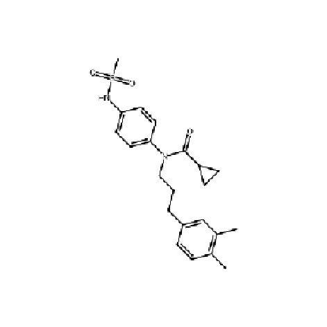 Cc1ccc(CCCN(C(=O)C2CC2)c2ccc(NS(C)(=O)=O)cc2)cc1C